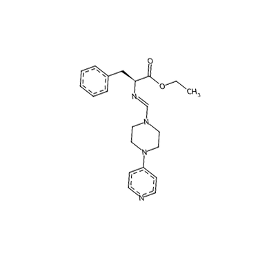 CCOC(=O)[C@H](Cc1ccccc1)N=CN1CCN(c2ccncc2)CC1